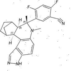 CN1c2ccc3[nH]ncc3c2[C@H]2C3CCC(C3)[C@H]2[C@]1(C)c1cc(C#N)c(F)cc1F